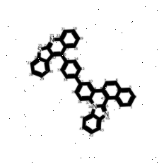 c1ccc2c(c1)ccc1c3cc(-c4ccc(-c5c6ccccc6nc6sc7ccccc7c56)cc4)ccc3n3c4ccccc4nc3c21